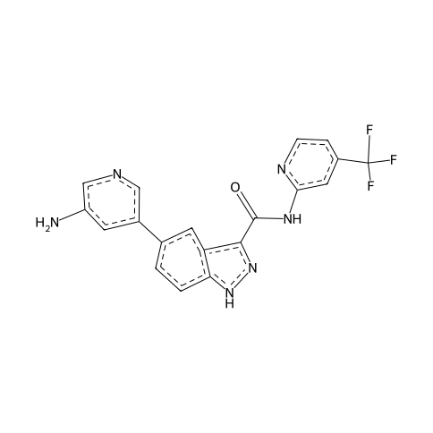 Nc1cncc(-c2ccc3[nH]nc(C(=O)Nc4cc(C(F)(F)F)ccn4)c3c2)c1